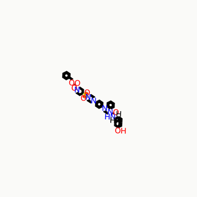 O=C(OCc1ccccc1)ON1CCC(S(=O)(=O)N2CCN(c3ccc(N4CCN(C(=O)NC5[C@@H]6CC7C[C@H]5CC(O)(C7)C6)c5ccccc54)cc3)CC2)CC1